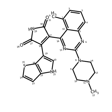 Cc1cccc2nc(N3CCN(C)CC3)nc(C3=C(c4c[nH]c5ccsc45)C(=O)NC3=O)c12